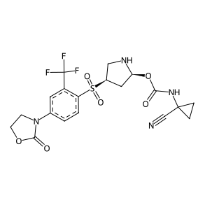 N#CC1(NC(=O)O[C@H]2C[C@@H](S(=O)(=O)c3ccc(N4CCOC4=O)cc3C(F)(F)F)CN2)CC1